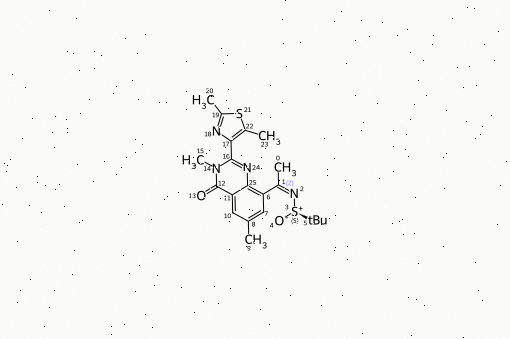 C/C(=N/[S@+]([O-])C(C)(C)C)c1cc(C)cc2c(=O)n(C)c(-c3nc(C)sc3C)nc12